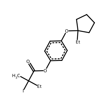 CCC1(Oc2ccc(OC(=O)C(C)(I)CC)cc2)CCCC1